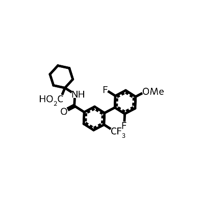 COc1cc(F)c(-c2cc(C(=O)NC3(C(=O)O)CCCCC3)ccc2C(F)(F)F)c(F)c1